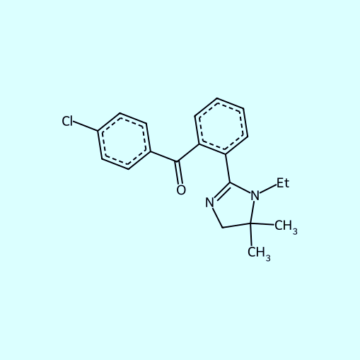 CCN1C(c2ccccc2C(=O)c2ccc(Cl)cc2)=NCC1(C)C